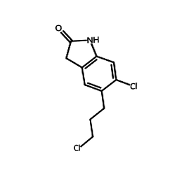 O=C1Cc2cc(CCCCl)c(Cl)cc2N1